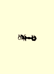 O/N=C\c1cnc(C#Cc2ccccn2)s1